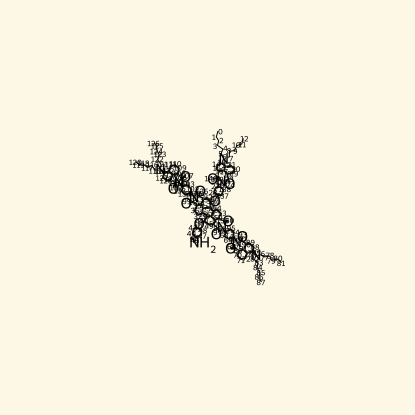 CCCCCCN(CCCCCC)c1ccc2c3c(cccc13)C(=O)N(c1ccc(Oc3cc4c5c(ccc6c7c(Oc8ccc(N)cc8)cc8c9c(ccc(c3c56)c97)C(=O)N(c3ccc(N5C(=O)c6cccc7c(N(CCCCCC)CCCCCC)ccc(c67)C5=O)cc3)C8=O)C(=O)N(c3ccc(N5C(=O)c6cccc7c(N(CCCCCC)CCCCCC)ccc(c67)C5=O)cc3)C4=O)cc1)C2=O